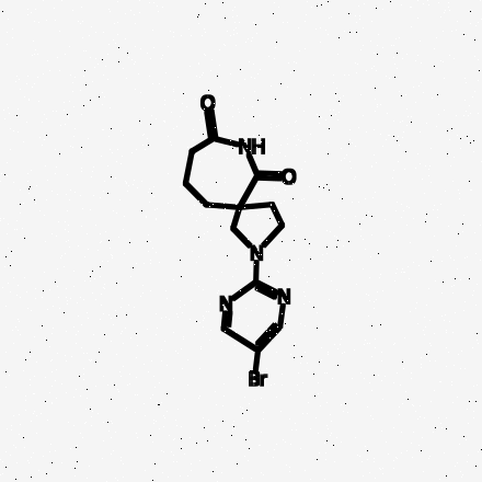 O=C1CCCC2(CCN(c3ncc(Br)cn3)C2)C(=O)N1